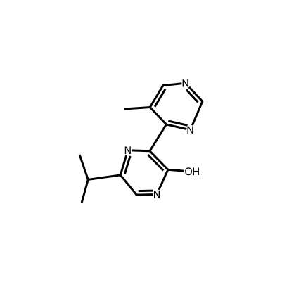 Cc1cncnc1-c1nc(C(C)C)cnc1O